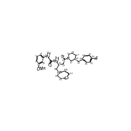 COc1cccc(NC(=O)N[C@@H](CC(=O)N2CCC[C@@H](Cc3ccc(F)cc3)C2)CN2CCOCC2)c1